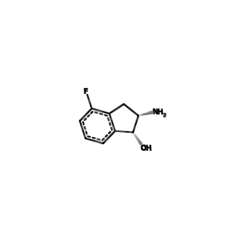 N[C@H]1Cc2c(F)cccc2[C@H]1O